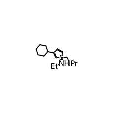 CCNS1(CC(C)C)C=CC(C2CCCCC2)=C1